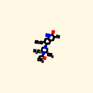 C=CC(=O)N1[C@H](C)CN(c2cc3cc(CC)c(=O)[nH]c3cc2OC)C[C@@H]1C